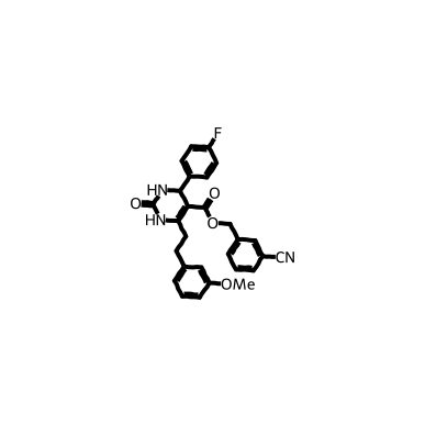 COc1cccc(CCC2=C(C(=O)OCc3cccc(C#N)c3)C(c3ccc(F)cc3)NC(=O)N2)c1